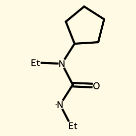 CC[N]C(=O)N(CC)C1CCCC1